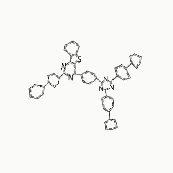 c1ccc(-c2ccc(-c3nc(-c4ccc(-c5ccccc5)cc4)nc(-c4ccc(-c5nc(-c6ccc(-c7ccccc7)cc6)nc6c5sc5ccccc56)cc4)n3)cc2)cc1